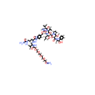 CC[C@H](C)[C@@H]([C@@H](CC(=O)N1CCC[C@H]1[C@H](OC)[C@@H](C)C(=O)N[C@H](C)[C@@H](O)c1ccccc1)OC)N(C)C(=O)[C@@H](NC(=O)[C@H](C(C)C)N(C)C(=O)OCc1ccc(NC(=O)C(CCCNC(N)=O)NCC(NC(=O)COCCOCCOCCOCCON)C(C)C)cc1)C(C)C